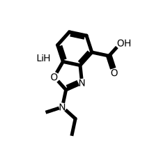 CCN(C)c1nc2c(C(=O)O)cccc2o1.[LiH]